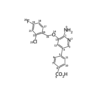 Nc1ncc(-c2ccc(C(=O)O)cc2)cc1OCc1ccc(F)cc1Cl